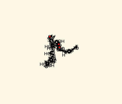 CCN(C(C)=O)[C@H]1CO[C@@H](OC2C(O)[C@H](NO[C@H]3CC(O)[C@H](SC(=O)c4c(C)c(I)c(O[C@@H]5OC(C)[C@H](O)C(OC)C5O)c(OC)c4OC)C(C)O3)C(C)O[C@H]2O[C@H]2C=C[C@]3(O)CC(=O)C(NC(=O)CO)=C2/C3=C\CSSC(C)(C)CC(=O)N/N=C(\C)c2ccc(OCCCC(C)=O)cc2)CC1OC